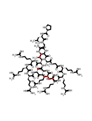 CSCC(NC(=O)CNC(=O)[C@H](CC(C)C)NC(=O)[C@@H]1CCCN1)C(=O)N[C@@H](C)C(=O)NCC(=O)N[C@H](CCCNC(=N)N)C(=O)N[C@H](CCCNC(=N)N)C(=O)N[C@H](CCCNC(=N)N)C(=O)N[C@H](CCCNC(=N)N)C(=O)N[C@H](CCCNC(=N)N)C(=O)N[C@H](CCCNC(=N)N)C(=O)N[C@H](CCCNC(=N)N)C(=O)N[C@H](CCCNC(=N)N)C(=O)N[C@H](CCCNC(=N)N)C(=O)N[C@H](C)C(N)=O